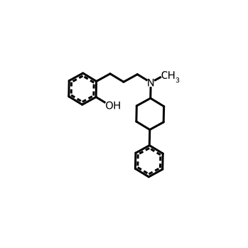 CN(CCCc1ccccc1O)C1CCC(c2ccccc2)CC1